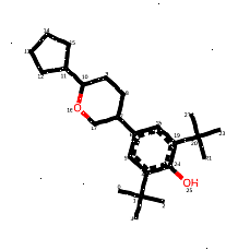 CC(C)(C)c1cc(C2CCC(C3CCCC3)OC2)cc(C(C)(C)C)c1O